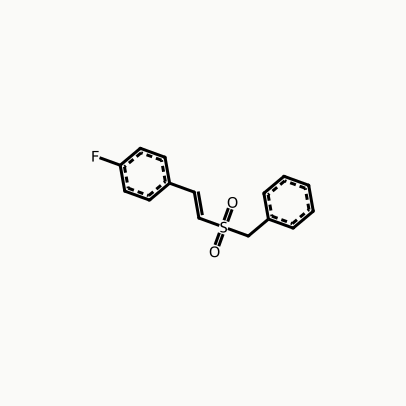 O=S(=O)(C=Cc1ccc(F)cc1)Cc1ccccc1